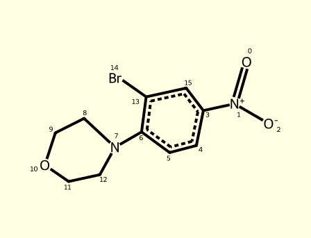 O=[N+]([O-])c1ccc(N2CCOCC2)c(Br)c1